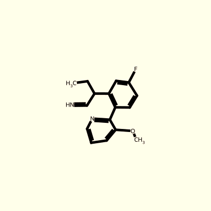 CCC(C=N)c1cc(F)ccc1-c1ncccc1OC